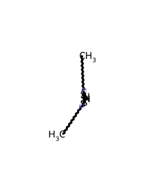 CCCCCCCCCCCCCCCC/C=C/SSc1nnc(SS/C=C/CCCCCCCCCCCCCCCC)s1